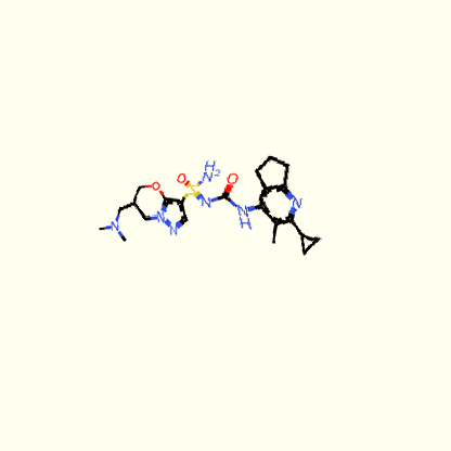 Cc1c(C2CC2)nc2c(c1NC(=O)N=S(N)(=O)c1cnn3c1OCC(CN(C)C)C3)CCC2